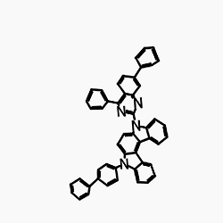 c1ccc(-c2ccc(-n3c4ccccc4c4c5c6ccccc6n(-c6nc(-c7ccccc7)c7ccc(-c8ccccc8)cc7n6)c5ccc43)cc2)cc1